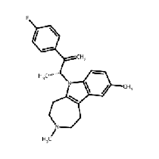 C=C(c1ccc(F)cc1)[C@@H](C)n1c2c(c3cc(C)ccc31)CCN(C)CC2